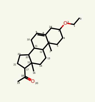 CCOC1CCC2(C)C(=CCC3C2CCC2(C)C(C(C)=O)CCC32)C1